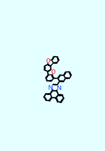 c1ccc2cc(-c3cccc4c3oc3c4ccc4oc5ccccc5c43)c(-c3cnc4c5ccccc5c5ccccc5c4n3)cc2c1